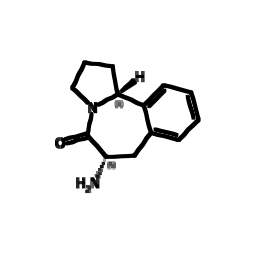 N[C@H]1Cc2ccccc2[C@H]2CCCN2C1=O